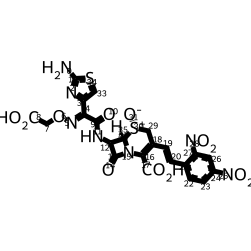 Nc1nc(C(=NOCC(=O)O)C(=O)NC2C(=O)N3C(C(=O)O)=C(C=Cc4ccc([N+](=O)[O-])cc4[N+](=O)[O-])C[S+]([O-])[C@@H]23)cs1